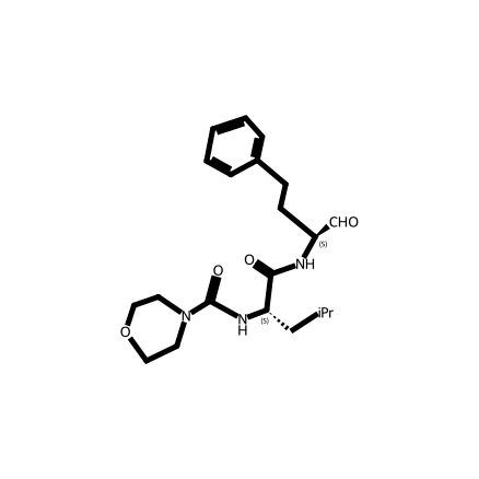 CC(C)C[C@H](NC(=O)N1CCOCC1)C(=O)N[C@H](C=O)CCc1ccccc1